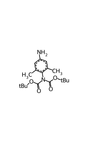 Cc1cc(N)cc(C)c1N(C(=O)OC(C)(C)C)C(=O)OC(C)(C)C